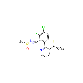 COC(=S)c1cccnc1-c1ccc(Cl)c(Cl)c1/C=N/[S+]([O-])C(C)(C)C